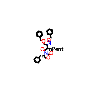 CCCCC[C@@H](C(=O)N1C(=O)OC[C@@H]1Cc1ccccc1)C(COCc1ccccc1)=NOCc1ccccc1